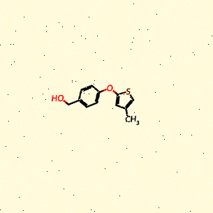 Cc1csc(Oc2ccc(CO)cc2)c1